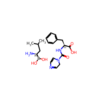 CC(C)C[C@H](N)B(O)O.O=C(O)[C@H](Cc1ccccc1)NC(=O)N1C=CN=CC1